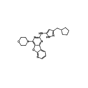 c1cnc2oc3c(N4CCOCC4)nc(Nc4cc(CC5CCCC5)n[nH]4)nc3c2c1